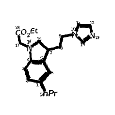 CCCc1ccc2c(c1)C(CCn1ccnc1)CN2CC(=O)OCC